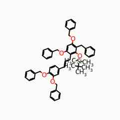 CC(C)(C)[Si](C)(C)Oc1c(CC=Cc2ccc(OCc3ccccc3)c(OCc3ccccc3)c2)c(OCc2ccccc2)cc(OCc2ccccc2)c1Cc1ccccc1